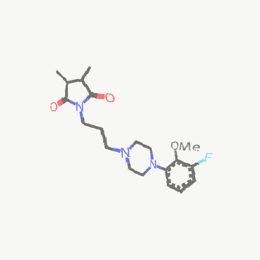 COc1c(F)cccc1N1CCN(CCCN2C(=O)C(C)C(C)C2=O)CC1